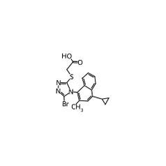 Cc1cc(C2CC2)c2ccccc2c1-n1c(Br)nnc1SCC(=O)O